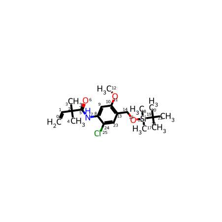 C=CC(C)(C)C(=O)Nc1cc(OC)c(CO[Si](C)(C)C(C)(C)C)cc1Cl